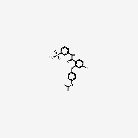 CC(C)Oc1ccc(Oc2cc(Cl)ccc2C(=O)Nc2cccc(S(N)(=O)=O)c2)cc1